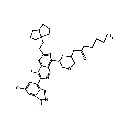 CCCCCC(=O)CC1COCN(c2nc(CCC34CCCN3CCC4)nc3c(F)c(-c4cc(Cl)cc5[nH]ncc45)ncc23)C1